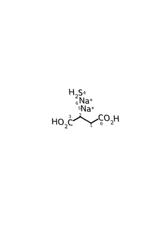 O=C(O)CCC(=O)O.S.[Na+].[Na+]